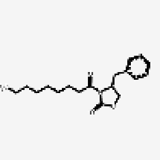 CCCCCCCCC(=O)N1C(=O)OCC1Cc1ccccc1